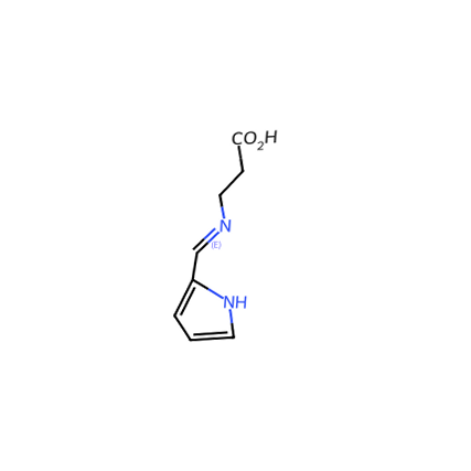 O=C(O)CC/N=C/c1ccc[nH]1